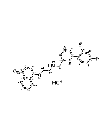 Cl.Fc1ccc(-c2cncc(CNCCOc3ccc(Cl)c4cccnc34)c2)c(F)c1